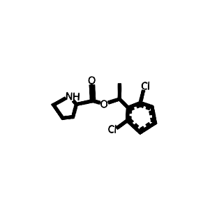 CC(OC(=O)C1CCCN1)c1c(Cl)cccc1Cl